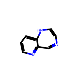 C1=CNc2cccnc2C=N1